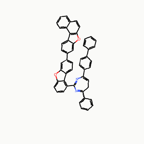 C1=C(c2ccc(-c3ccccc3)cc2)N=C(c2cccc3oc4cc(-c5ccc6c(c5)oc5ccc7ccccc7c56)ccc4c23)N=C(c2ccccc2)C1